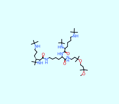 COC(C)(C)CCOC(C)(C)CCNC(=O)C(CCCCNC(=O)C1NC(C)(C)[C@H]1CCCNC(C)(C)C)NC(=O)C(CCCCNC(C)(C)C)NC(C)(C)C